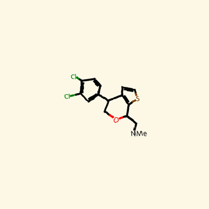 CNCC1OCC(c2ccc(Cl)c(Cl)c2)c2ccsc21